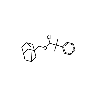 CC(C)(c1ccccc1)C(Cl)OCC12CC3CC(CC(C3)C1)C2